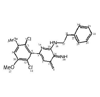 C=C1C=C(c2c(Cl)c(OC)cc(OC)c2Cl)N=C(NCCc2ccccc2)C1=N